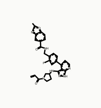 C=CC(=O)N1CCC(Nc2n[nH]c3nccc(-c4ccc(CNC(=O)c5ccc6oc(C)nc6c5)c(F)c4)c23)C1